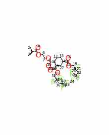 C=C(C)C(=O)OCCOC(=O)C1CCC(C(=O)OCC(F)(F)CC(F)(F)F)CC1C(=O)OCC(F)(F)CC(F)(F)F